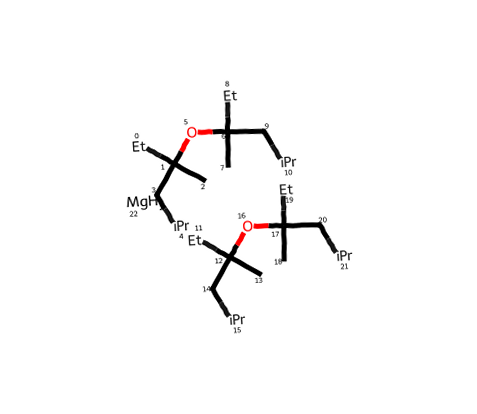 CCC(C)(CC(C)C)OC(C)(CC)CC(C)C.CCC(C)(CC(C)C)OC(C)(CC)CC(C)C.[MgH2]